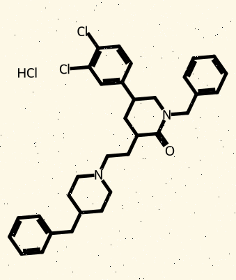 Cl.O=C1C(CCN2CCC(Cc3ccccc3)CC2)CC(c2ccc(Cl)c(Cl)c2)CN1Cc1ccccc1